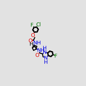 O=C(COc1ccc(Cl)c(F)c1)N[C@H]1CC2(NC(=O)C3CNc4cc(F)ccc4N3)CC1C2